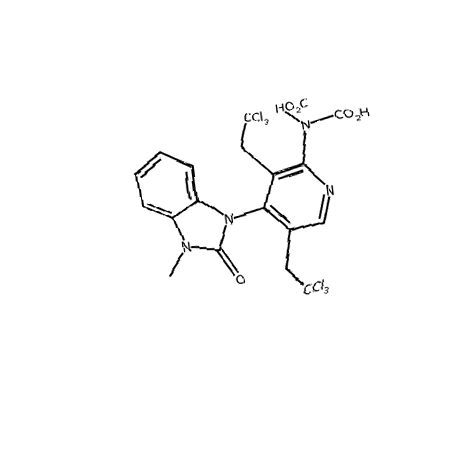 Cn1c(=O)n(-c2c(CC(Cl)(Cl)Cl)cnc(N(C(=O)O)C(=O)O)c2CC(Cl)(Cl)Cl)c2ccccc21